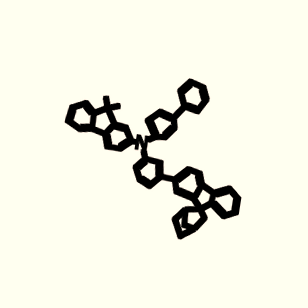 CC1(C)c2ccccc2-c2ccc(N(c3ccc(-c4ccccc4)cc3)c3cccc(-c4ccc5c(c4)C4(CC6CCC4C6)c4ccccc4-5)c3)cc21